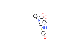 COC(=O)C[C@H](C)N(Cc1ccc(F)cc1)c1ccc(NSc2ccc(OC)cc2)c2ccccc12